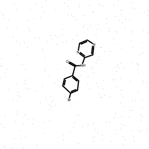 O=C(Nc1cnccn1)c1ccc(Br)cc1